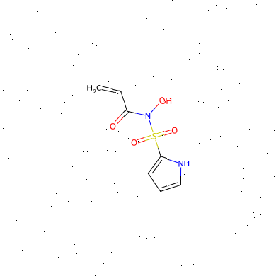 C=CC(=O)N(O)S(=O)(=O)c1ccc[nH]1